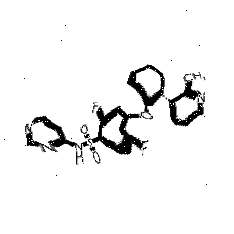 Cc1ncccc1[C@H]1CCCC[C@@H]1Oc1cc(F)c(S(=O)(=O)Nc2ccncn2)cc1F